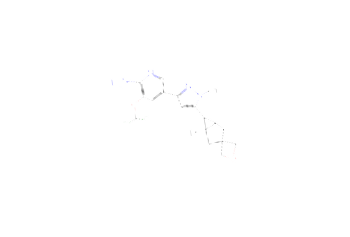 CC(C)n1nc(-c2cnc(N)c(OC(F)F)c2)cc1C1[C@H]2CC3(COC3)C[C@@H]12